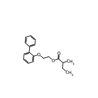 CCC(C)C(=O)OCCOc1ccccc1-c1ccccc1